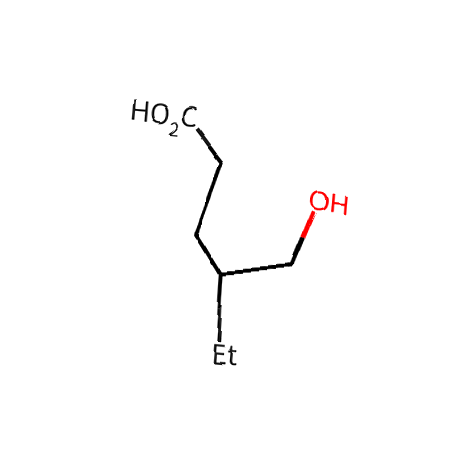 CCC(CO)CCC(=O)O